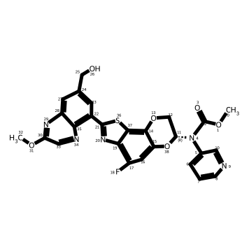 COC(=O)N(c1cccnc1)[C@H]1COc2c(cc(F)c3nc(-c4cc(CO)cc5nc(OC)cnc45)sc23)O1